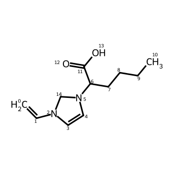 C=CN1C=CN(C(CCCC)C(=O)O)C1